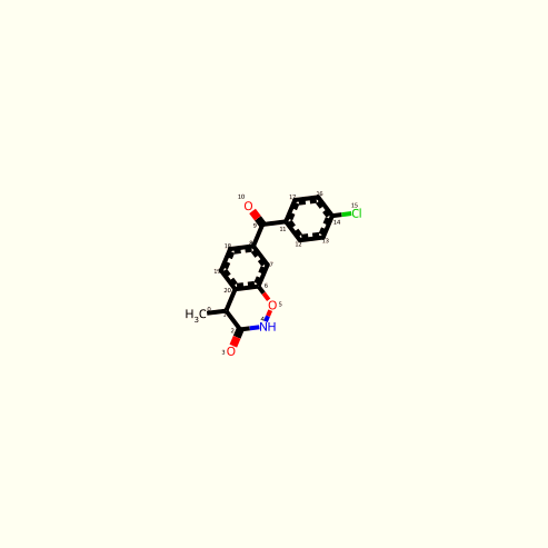 CC1C(=O)NOc2cc(C(=O)c3ccc(Cl)cc3)ccc21